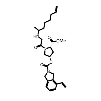 C=CCCCCC(C)NCC(=O)N1C[C@H](OC(=O)N2Cc3cccc(C=C)c3C2)C[C@H]1C(=O)OC